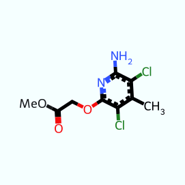 COC(=O)COc1nc(N)c(Cl)c(C)c1Cl